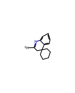 [2H]C1=Nc2ccccc2C2(CCCCC2)C1